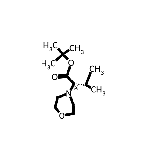 CC(C)[C@@H](C(=O)OC(C)(C)C)N1CCOCC1